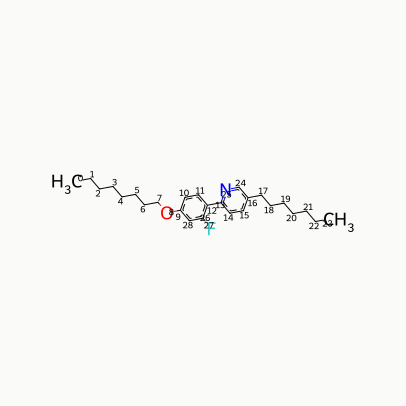 CCCCCCCCOc1ccc(-c2ccc(CCCCCCC)cn2)c(F)c1